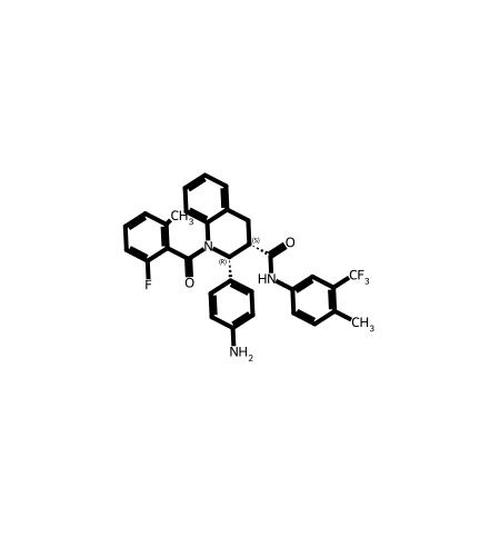 Cc1ccc(NC(=O)[C@H]2Cc3ccccc3N(C(=O)c3c(C)cccc3F)[C@H]2c2ccc(N)cc2)cc1C(F)(F)F